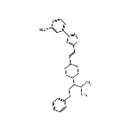 Cc1cccc(-c2noc(C=CC3CCC(C(CCc4ccccc4)N(C)C)CC3)n2)c1